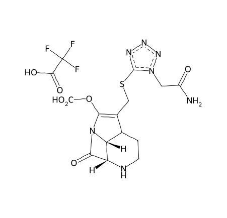 NC(=O)Cn1nnnc1SCC1=C(OC(=O)O)N2C(=O)[C@H]3NCCC1[C@H]32.O=C(O)C(F)(F)F